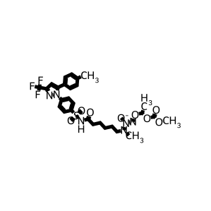 COC(=O)OC(C)ON=[N+]([O-])N(C)CCCCCC(=O)NS(=O)(=O)c1ccc(-n2nc(C(F)(F)F)cc2-c2ccc(C)cc2)cc1